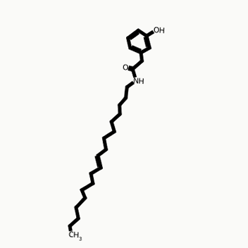 CCCCCCCCC=CCCCCCCCCNC(=O)Cc1cccc(O)c1